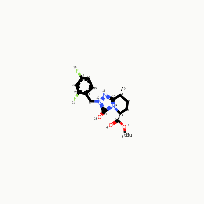 C[C@@H]1CC[C@H](C(=O)OC(C)(C)C)n2c1nn(Cc1ccc(F)cc1F)c2=O